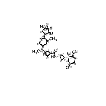 Cc1cc([C@H](C)n2cc(C(=O)N[C@H]3C[C@@H](C4(C)CC(Cl)=CC=C4C#N)C3)cn2)cnc1N1C[C@H]2C[C@H]2C1=O